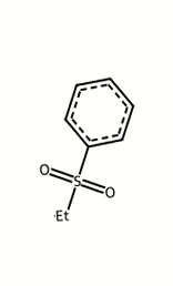 C[CH]S(=O)(=O)c1ccccc1